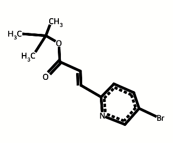 CC(C)(C)OC(=O)/C=C/c1ccc(Br)cn1